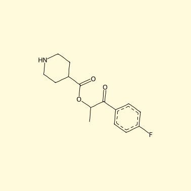 CC(OC(=O)C1CCNCC1)C(=O)c1ccc(F)cc1